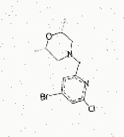 C[C@@H]1CN(Cc2cc(Br)cc(Cl)n2)C[C@H](C)O1